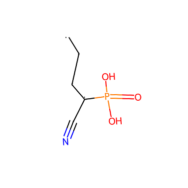 [CH2]CC[C](C#N)P(=O)(O)O